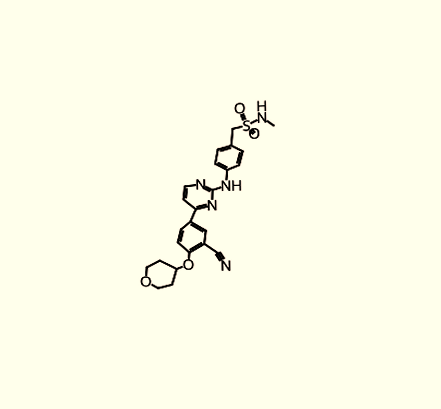 CNS(=O)(=O)Cc1ccc(Nc2nccc(-c3ccc(OC4CCOCC4)c(C#N)c3)n2)cc1